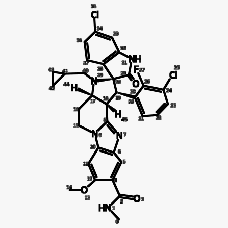 CNC(=O)c1cc2nc3n(c2cc1OC)CC[C@H]1[C@@H]3[C@H](c2cccc(Cl)c2F)[C@]2(C(=O)Nc3cc(Cl)ccc32)N1CC1CC1